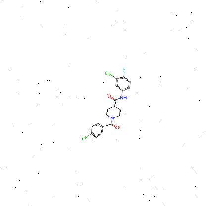 O=C(Nc1ccc(F)c(Cl)c1)C1CCN(C(=O)c2ccc(Cl)cc2)CC1